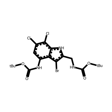 CC(C)(C)OC(=O)NCc1[nH]c2c(Cl)c(Cl)cc(NC(=O)OC(C)(C)C)c2c1Br